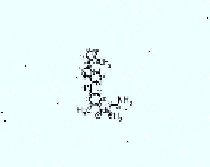 Cc1cc(Nc2nccn3c(C4=CCN=C4C(F)(F)F)cnc23)ccc1C(=O)N(C)CCN